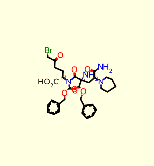 NC(=O)C(C[C@@](N)(C(=O)OCc1ccccc1)C(=O)N(C(=O)OCc1ccccc1)[C@@H](CCC(=O)CBr)C(=O)O)N1CCCCC1